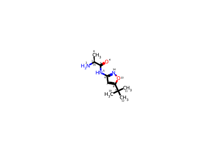 C[C@H](N)C(=O)Nc1cc(C(C)(C)C)on1